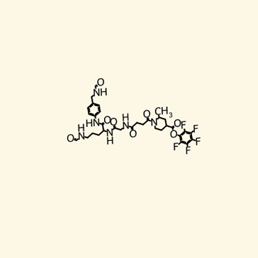 CC1CC(C(=O)Oc2c(F)c(F)c(F)c(F)c2F)CCN1C(=O)CCC(=O)NCC(=O)NC(CCCNC=O)C(=O)Nc1ccc(CNC=O)cc1